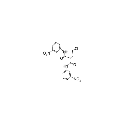 O=C(Nc1cccc([N+](=O)[O-])c1)C(CCCl)C(=O)Nc1cccc([N+](=O)[O-])c1